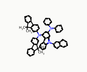 CC1(C)c2ccccc2-c2ccc(N(c3ccc4c(c3)C(C)(C)c3ccccc3-4)c3cc(N(c4ccccc4)c4ccccc4)cc4c3c3ccccc3n4-c3ccc4ccccc4c3)cc21